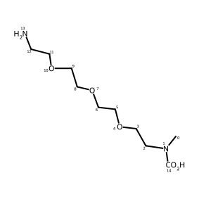 CN(CCOCCOCCOCCN)C(=O)O